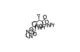 CCCC1(CCC)OC(=O)C(C(c2cccc(CS(=O)(=O)c3ncccn3)c2)C2CC2)=C1O